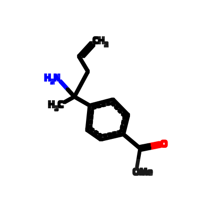 C=CCC(C)(N)c1ccc(C(=O)OC)cc1